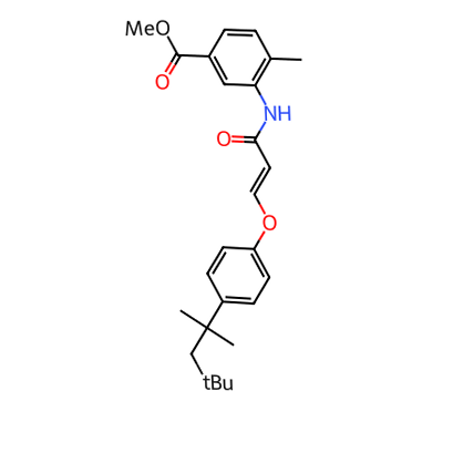 COC(=O)c1ccc(C)c(NC(=O)/C=C/Oc2ccc(C(C)(C)CC(C)(C)C)cc2)c1